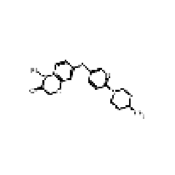 CCN1C(=O)COc2cc(Nc3ccc(N4CCC(C(F)(F)F)CC4)nc3)ccc21